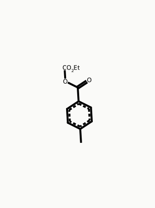 CCOC(=O)OC(=O)c1ccc(C)cc1